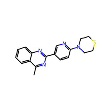 Cc1nc(-c2ccc(N3CCSCC3)nc2)nc2ccccc12